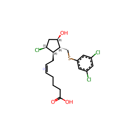 O=C(O)CCC/C=C\C[C@@H]1[C@@H](CSc2cc(Cl)cc(Cl)c2)[C@H](O)C[C@@H]1Cl